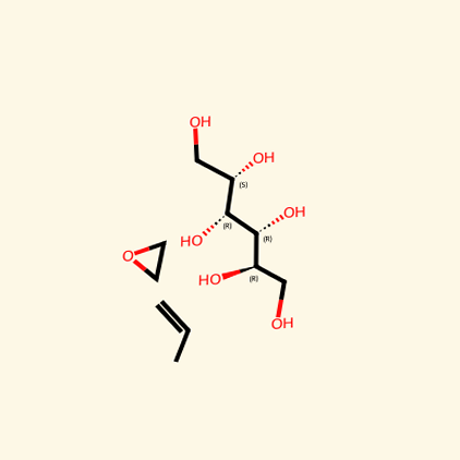 C1CO1.C=CC.OC[C@@H](O)[C@@H](O)[C@H](O)[C@@H](O)CO